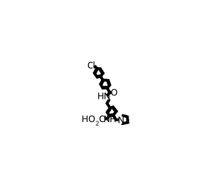 O=C(O)Nc1cc(CCNC(=O)c2ccc(-c3ccc(Cl)cc3)cc2)ccc1CN1CCCC1